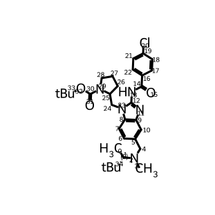 C[C@H](N(C)Cc1ccc2c(c1)nc(NC(=O)c1ccc(Cl)cc1)n2CC1CCCN1C(=O)OC(C)(C)C)C(C)(C)C